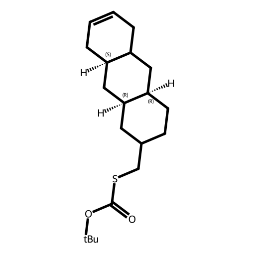 CC(C)(C)OC(=O)SCC1CC[C@@H]2CC3CC=CC[C@@H]3C[C@@H]2C1